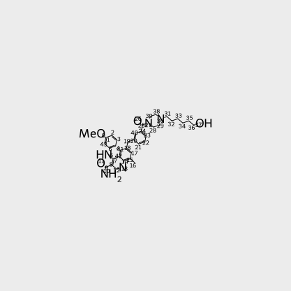 COc1cccc(Nc2c(C(N)=O)cnc3c(C)cc(Cc4cccc(C(=O)N5CCN(CCCCCCO)CC5)c4)cc23)c1